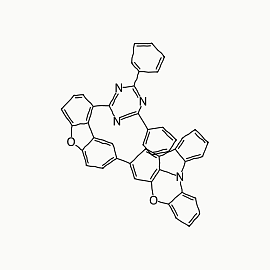 c1ccc(-c2nc(-c3ccccc3)nc(-c3cccc4oc5ccc(-c6cc7c8c(c6)c6ccccc6n8-c6ccccc6O7)cc5c34)n2)cc1